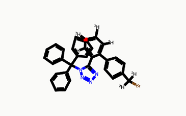 [2H]c1c([2H])c([2H])c(-c2nnnn2C(c2ccccc2)(c2ccccc2)c2ccccc2)c(-c2ccc(C([2H])([2H])Br)cc2)c1[2H]